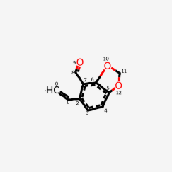 [CH]=Cc1ccc2c(c1C=O)OCO2